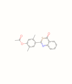 CC(=O)Oc1cc(C)c(-c2nc3ccccc3c(=O)s2)cc1C